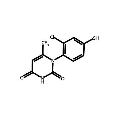 O=c1cc(C(F)(F)F)n(-c2ccc(S)cc2Cl)c(=O)[nH]1